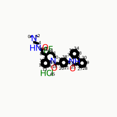 CN(C)CCNC(=O)/C=C1/c2ccccc2N(C(=O)c2ccc(NC(=O)c3ccccc3-c3ccccc3)cc2)CCC1(F)F.Cl